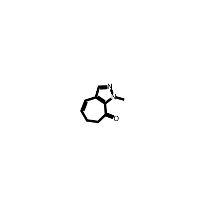 Cn1ncc2c1C(=O)CCC=C2